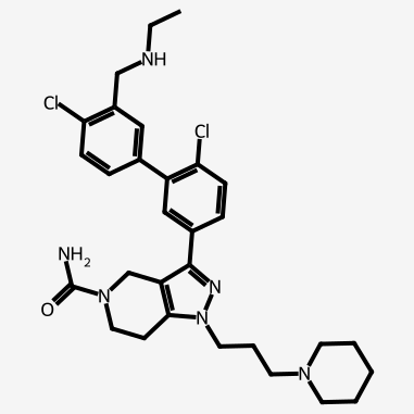 CCNCc1cc(-c2cc(-c3nn(CCCN4CCCCC4)c4c3CN(C(N)=O)CC4)ccc2Cl)ccc1Cl